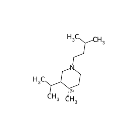 CC(C)CCN1CC[C@H](C)C(C(C)C)C1